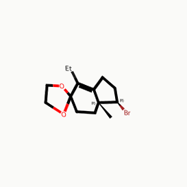 CCC1=C2CC[C@@H](Br)[C@]2(C)CCC12OCCO2